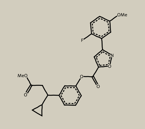 COC(=O)CC(c1cccc(OC(=O)c2cc(-c3cc(OC)ccc3F)no2)c1)C1CC1